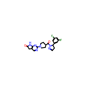 O=C1Cc2cnc(N3CCC(C(=O)N4N=CCC4c4cc(F)cc(F)c4)CC3)nc2N1